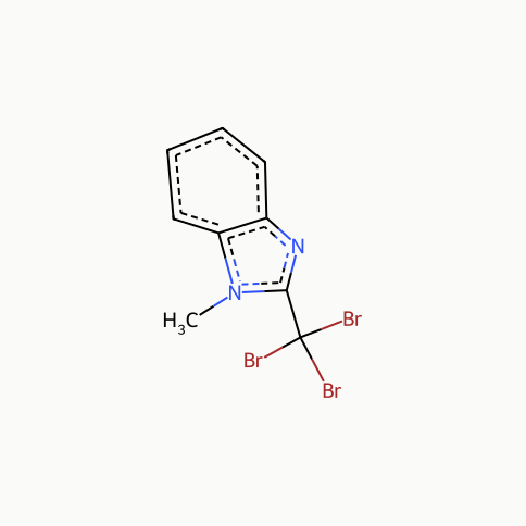 Cn1c(C(Br)(Br)Br)nc2ccccc21